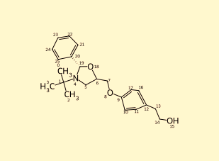 CC(C)(C)N1CC(COc2ccc(CCO)cc2)O[C@H]1c1ccccc1